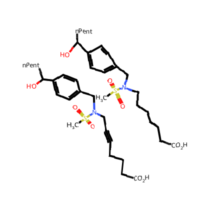 CCCCCC(O)c1ccc(CN(CC#CCCCC(=O)O)S(C)(=O)=O)cc1.CCCCCC(O)c1ccc(CN(CCCCCCC(=O)O)S(C)(=O)=O)cc1